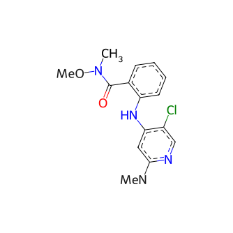 CNc1cc(Nc2ccccc2C(=O)N(C)OC)c(Cl)cn1